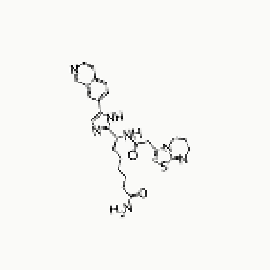 NC(=O)CCCCC[C@H](NC(=O)CC1=CSC2=NCCCN12)c1ncc(-c2ccc3ccncc3c2)[nH]1